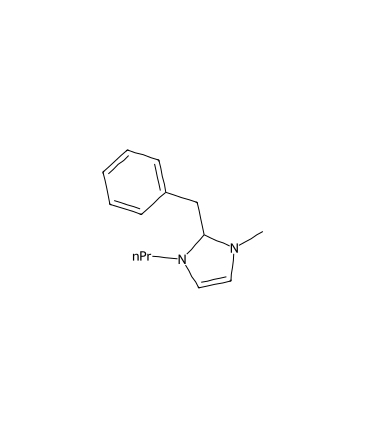 CCCN1C=CN(C)C1Cc1ccccc1